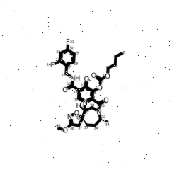 CCCCOC(=O)Oc1c2n(cc(C(=O)NCc3ccc(F)cc3F)c1=O)[C@@H]1CN(C2=O)[C@@H](C)CC[C@]12CC(OC)=NO2